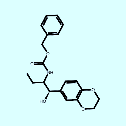 CC[C@@H](NC(=O)OCc1ccccc1)[C@H](O)c1ccc2c(c1)OCCO2